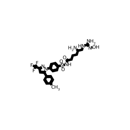 Cc1ccc(-c2cc(C(F)(F)F)nn2-c2ccc(S(=O)(=O)NC(=O)CCCC(N)CNC(N)=NO)cc2)cc1